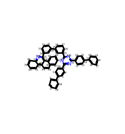 c1ccc(-c2ccc(-c3nc(-c4ccc(-c5ccccc5)cc4)nc(-c4cccc(-c5cccc(-c6nc7ccccc7c7ccc8ccccc8c67)c5)c4)n3)cc2)cc1